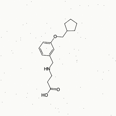 O=C(O)CCNCc1cccc(OCC2CCCC2)c1